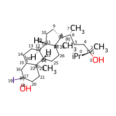 CC(C)[C@@](C)(O)CC[C@@H](C)[C@H]1CC[C@H]2[C@@H]3CC=C4C[C@](O)(I)CC[C@]4(C)[C@H]3CC[C@]12C